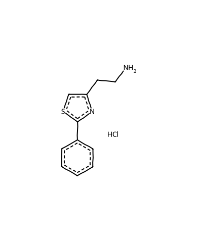 Cl.NCCc1csc(-c2ccccc2)n1